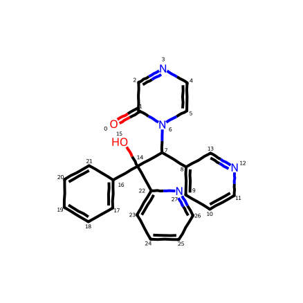 O=c1cnccn1C(c1cccnc1)C(O)(c1ccccc1)c1ccccn1